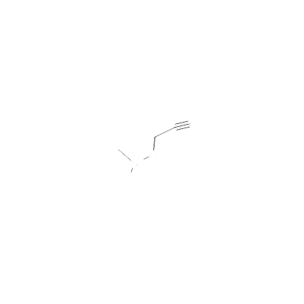 C#CCO[SiH](C)C